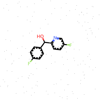 OC(c1ccc(F)cc1)c1ccc(F)cn1